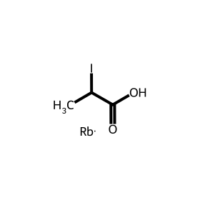 CC(I)C(=O)O.[Rb]